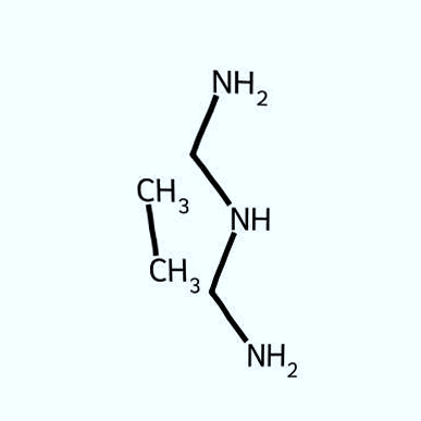 CC.NCNCN